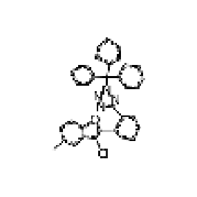 Cc1ccc2oc(-c3ccccc3-c3nnn(C(c4ccccc4)(c4ccccc4)c4ccccc4)n3)c(Cl)c2c1